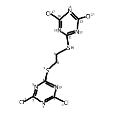 Clc1nc(Cl)nc(SCCSc2nc(Cl)nc(Cl)n2)n1